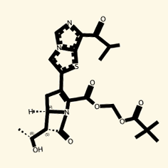 CC(C)C(=O)c1ncn2cc(C3=C(C(=O)OCOC(=O)C(C)(C)C)N4C(=O)[C@H]([C@@H](C)O)[C@H]4C3)sc12